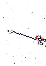 CC/C=C/C/C=C/C/C=C/C/C=C/C/C=C/CCCC(=O)Nc1c(OC)cc(OC)cc1OC